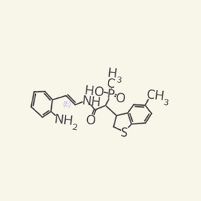 Cc1ccc2c(c1)C(C(C(=O)N/C=C/c1ccccc1N)P(C)(=O)O)CS2